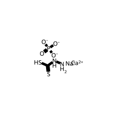 NNC(=S)S.O=P([O-])([O-])[O-].[Ca+2].[Na+]